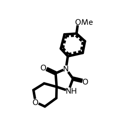 COc1ccc(N2C(=O)NC3(CCOCC3)C2=O)cc1